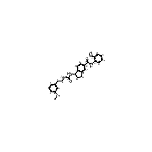 COc1cccc(CCNC(=O)NC2CCc3cc(C(=O)Nc4ccccc4N)ccc32)c1